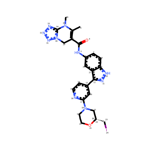 CC1=C(C(=O)Nc2ccc3[nH]nc(-c4ccnc(N5CCO[C@@H](CI)C5)c4)c3c2)Cn2nnnc2N1C